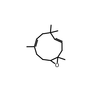 C/C1=C/CC(C)(C)/C=C/CC2(C)OC2CC1